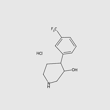 Cl.OC1CNCCC1c1cccc(C(F)(F)F)c1